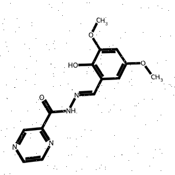 COc1cc(C=NNC(=O)c2cnccn2)c(O)c(OC)c1